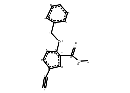 C#Cc1ccc(OCc2ccccc2)c(C(=O)OC)c1